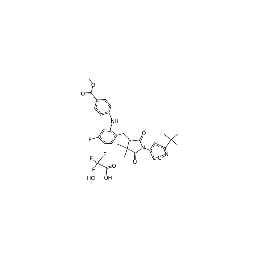 COC(=O)c1ccc(Nc2cc(F)ccc2CN2C(=O)N(c3ccnc(C(C)(C)C)c3)C(=O)C2(C)C)cc1.Cl.O=C(O)C(F)(F)F